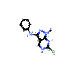 Cn1nc(Nc2ccccc2)c2cnc(Cl)nc21